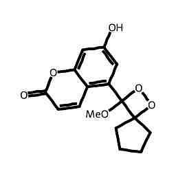 COC1(c2cc(O)cc3oc(=O)ccc23)OOC12CCCC2